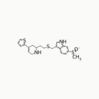 C[S+]([O-])c1ccc2c(CSCCC3CC(c4cccs4)=CCN3)c[nH]c2c1